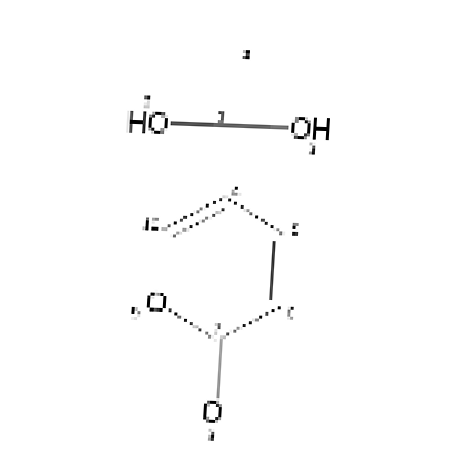 CC(O)(O)c1ccc(=O)oc1